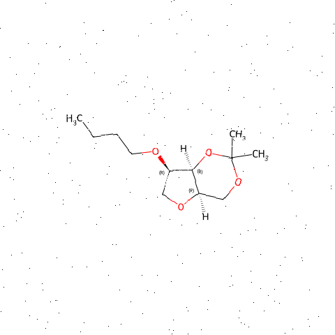 CCCCO[C@@H]1CO[C@@H]2COC(C)(C)O[C@H]12